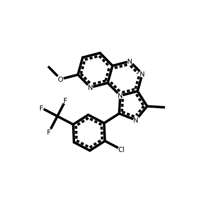 COc1ccc2nnc3c(C)nc(-c4cc(C(F)(F)F)ccc4Cl)n3c2n1